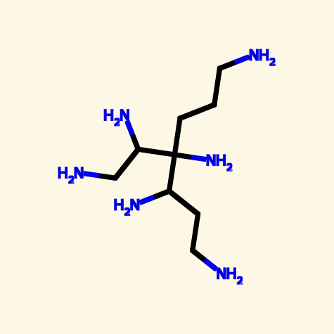 NCCCC(N)(C(N)CN)C(N)CCN